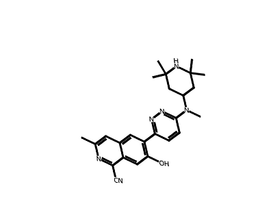 Cc1cc2cc(-c3ccc(N(C)C4CC(C)(C)NC(C)(C)C4)nn3)c(O)cc2c(C#N)n1